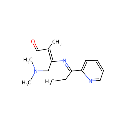 CC/C(=N\C(CN(C)C)=C(/C)C=O)c1ccccn1